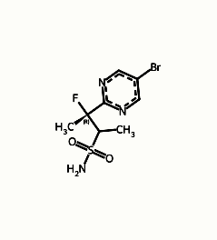 CC([C@](C)(F)c1ncc(Br)cn1)S(N)(=O)=O